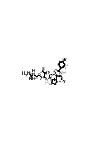 CC(C)C[C@H](NC(=O)c1ccc(Br)cc1)C(=O)N1CCC[C@H]1C(=O)N[C@@H](CCCNC(=N)N)C(=O)CF